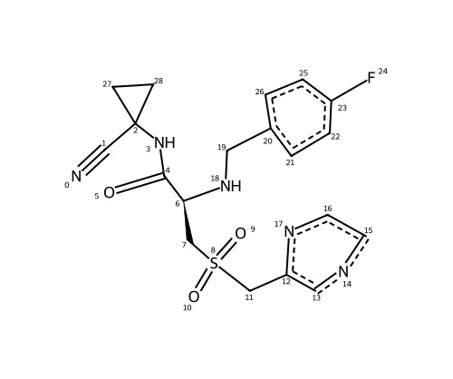 N#CC1(NC(=O)[C@H](CS(=O)(=O)Cc2cnccn2)NCc2ccc(F)cc2)CC1